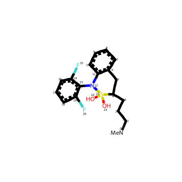 CNCCCC1Cc2ccccc2N(c2c(F)cccc2F)S1(O)O